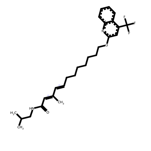 CC(/C=C/CCCCCCCOc1cc(C(F)(F)F)c2ccccc2n1)=C\C(=O)NCC(C)C